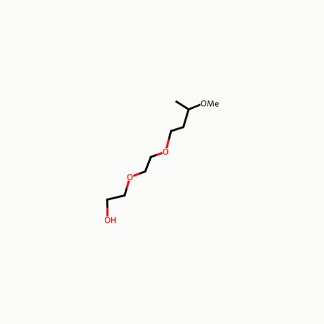 COC(C)CCOCCOCCO